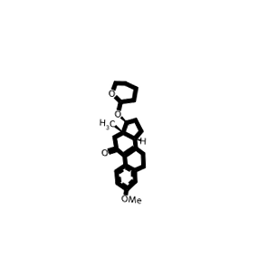 COc1ccc2c(c1)CCC1=C2C(=O)C[C@]2(C)[C@@H](OC3CCCCO3)CC[C@@H]12